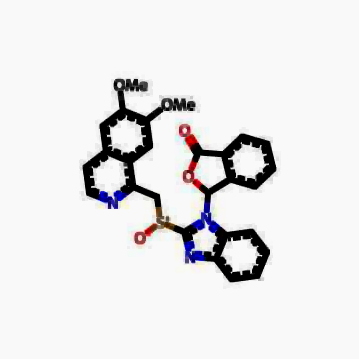 COc1cc2ccnc(C[S+]([O-])c3nc4ccccc4n3C3OC(=O)c4ccccc43)c2cc1OC